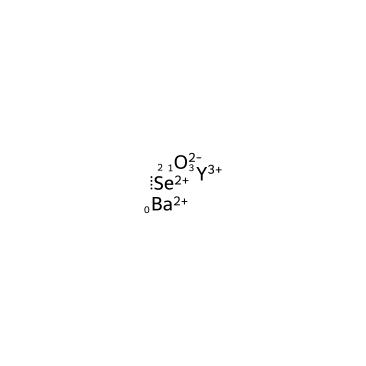 [Ba+2].[O-2].[Se+2].[Y+3]